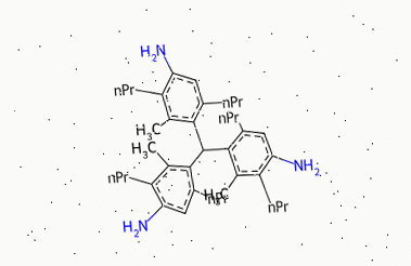 CCCc1cc(N)c(CCC)c(C)c1C(c1c(CCC)cc(N)c(CCC)c1C)c1c(CCC)cc(N)c(CCC)c1C